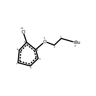 CC(C)(C)CCOc1c[c]ccc1Cl